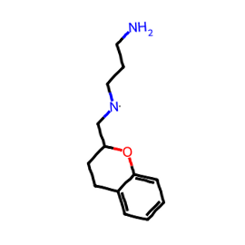 NCCC[N]CC1CCc2ccccc2O1